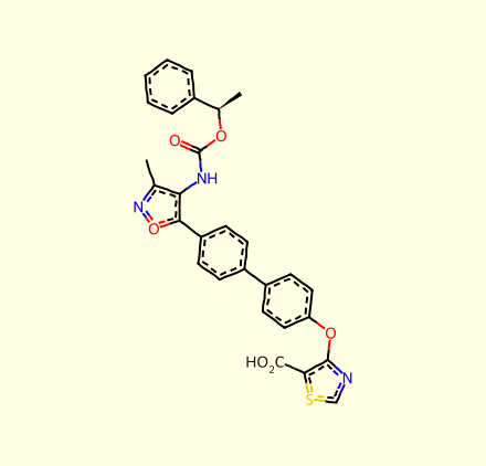 Cc1noc(-c2ccc(-c3ccc(Oc4ncsc4C(=O)O)cc3)cc2)c1NC(=O)O[C@H](C)c1ccccc1